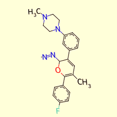 CC1=C(c2ccc(F)cc2)OC(N=[N])C(c2cccc(N3CCN(C)CC3)c2)=C1